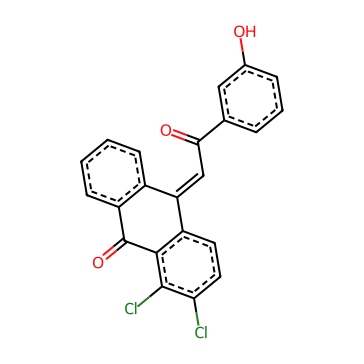 O=C(/C=C1\c2ccccc2C(=O)c2c1ccc(Cl)c2Cl)c1cccc(O)c1